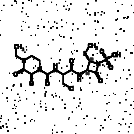 CCN1CCN(C(=O)NC(CCl)C(=O)N[C@@H]2C(=O)N(S(=O)(=O)O)[C@@H]2SC)C(=O)C1=O